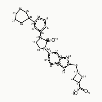 O=C(O)C1CN(Cc2nc3cc(N4CCN(c5cccc(C6CCCCC6)c5)C4=O)ccc3s2)C1